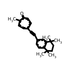 Cc1ccc(C#Cc2ccc3c(c2)C(C)(C)CCC3(C)C)ccc1=O